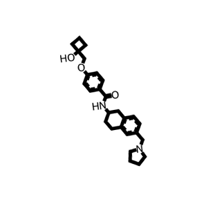 O=C(NC1CCc2cc(CN3CCCC3)ccc2C1)c1ccc(OCC2(O)CCC2)cc1